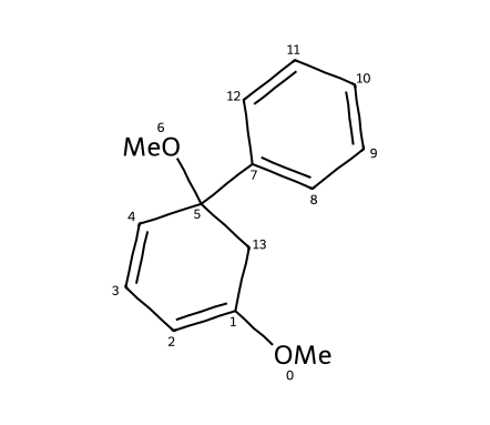 COC1=CC=CC(OC)(c2ccccc2)C1